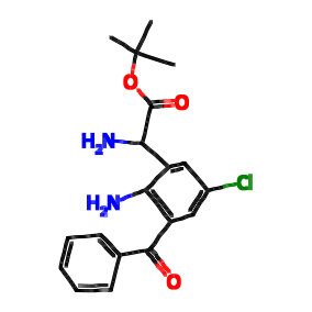 CC(C)(C)OC(=O)C(N)c1cc(Cl)cc(C(=O)c2ccccc2)c1N